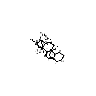 C[C@]12CC[C@H]3[C@@H](CC=C4CCCC[C@@]43C)[C@@H]1[C@H](O)[C@@H](F)[C@H]2O